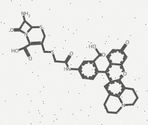 NC1C(=O)N2C(C(=O)O)=C(CSCC(=O)Nc3ccc(-c4c5ccc(=O)cc-5oc5c6c7c(cc45)CCCN7CCC6)c(C(=O)O)c3)CSC12